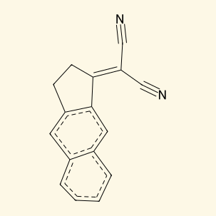 N#CC(C#N)=C1CCc2cc3ccccc3cc21